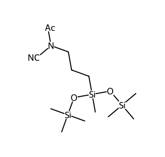 CC(=O)N(C#N)CCC[Si](C)(O[Si](C)(C)C)O[Si](C)(C)C